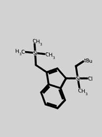 CC(C)(C)C[Si](C)(Cl)C1C=C(C[Si](C)(C)C)c2ccccc21